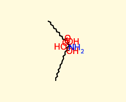 CCCCCCCCCCCCCCC(O)C(O)C(N)C(O)OC(=O)CCCCCCCCCCC